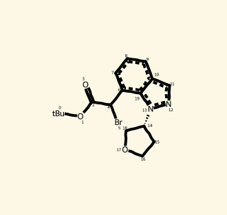 CC(C)(C)OC(=O)C(Br)c1cccc2cnn([C@@H]3CCOC3)c12